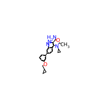 CCN(c1c(C(N)=O)nnc2cc(-c3cccc(OCC4CC4)c3)ccc12)C1CC1